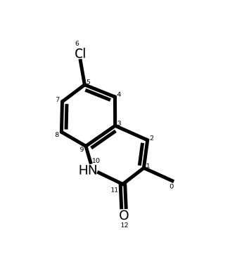 Cc1cc2cc(Cl)ccc2[nH]c1=O